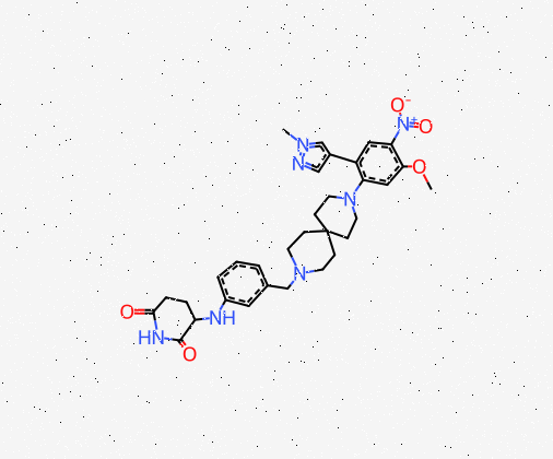 COc1cc(N2CCC3(CCN(Cc4cccc(NC5CCC(=O)NC5=O)c4)CC3)CC2)c(-c2cnn(C)c2)cc1[N+](=O)[O-]